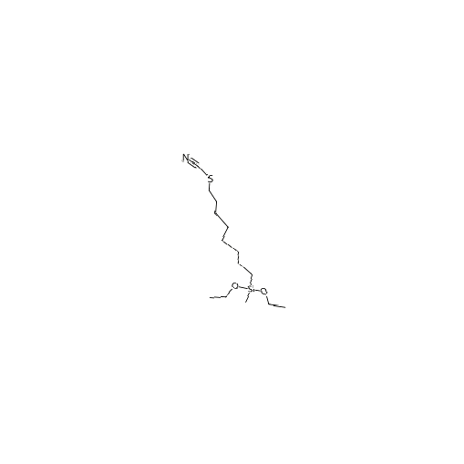 CCO[Si](C)(CCCCCCCCSC#N)OCC